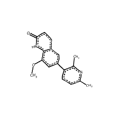 COc1cc(-c2ccc(C)nc2C)cc2ccc(=O)[nH]c12